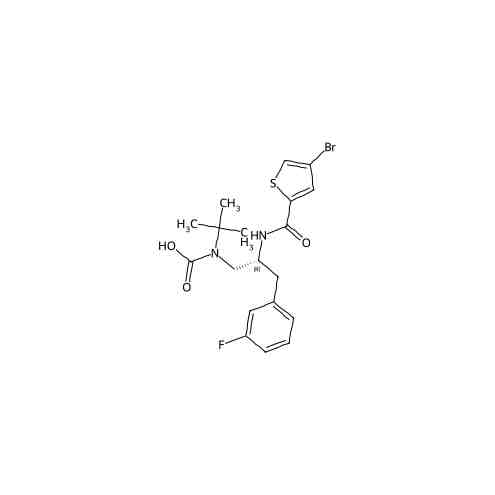 CC(C)(C)N(C[C@@H](Cc1cccc(F)c1)NC(=O)c1cc(Br)cs1)C(=O)O